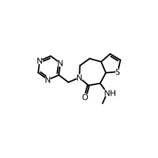 CNC1C(=O)N(Cc2ncncn2)CCC2C=CSC21